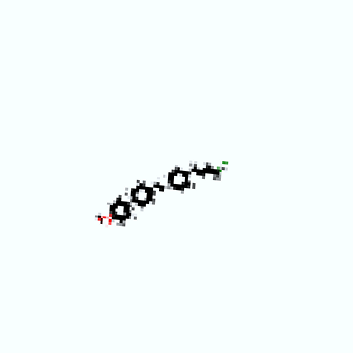 COc1ccc([C@H]2CC[C@H](CC[C@H]3CC[C@H](CCC=CF)CC3)CC2)cc1